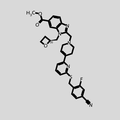 COC(=O)c1ccc2nc(CN3CC=C(c4cccc(SCc5ccc(C#N)cc5F)n4)CC3)n(C[C@@H]3CCO3)c2c1